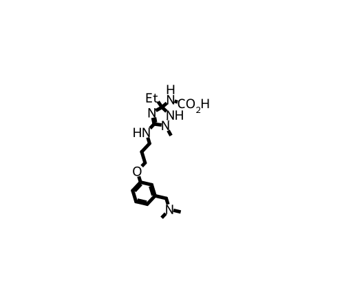 CCC1(NC(=O)O)N=C(NCCCOc2cccc(CN(C)C)c2)N(C)N1